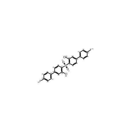 O=S(=O)(c1ccc(-c2ccc(F)cc2)cc1Cl)c1ccc(-c2ccc(F)cc2)cc1Cl